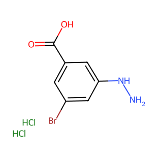 Cl.Cl.NNc1cc(Br)cc(C(=O)O)c1